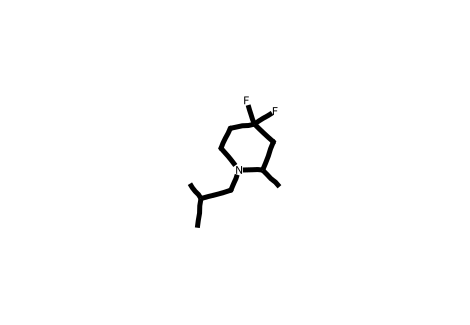 CC(C)CN1CCC(F)(F)CC1C